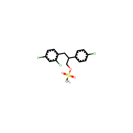 CS(=O)(=O)OCC(Cc1ccc(Cl)cc1Cl)c1ccc(Cl)cc1